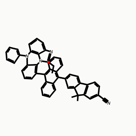 CCc1nc2cccc3c2n1-c1c(-c2c4ccccc4c(-c4ccc5c(c4)C(C)(C)c4cc(C#N)ccc4-5)c4ccccc24)cccc1N3c1ccccc1